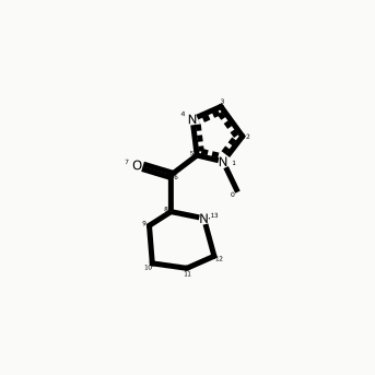 Cn1ccnc1C(=O)C1CCCC[N]1